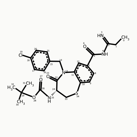 CCC(=N)NC(=O)c1ccc2c(c1)N(Cc1ccc(Cl)cc1)C(=O)[C@@H](NC(=O)OC(C)(C)C)CS2